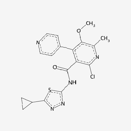 COc1c(C)nc(Cl)c(C(=O)Nc2nnc(C3CC3)s2)c1-c1ccncc1